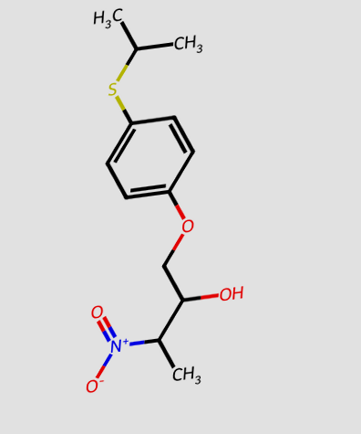 CC(C)Sc1ccc(OCC(O)C(C)[N+](=O)[O-])cc1